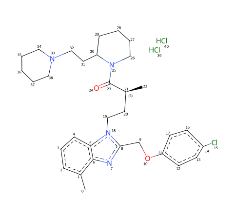 Cc1cccc2c1nc(COc1ccc(Cl)cc1)n2CC[C@H](C)C(=O)N1CCCCC1CCN1CCCCC1.Cl.Cl